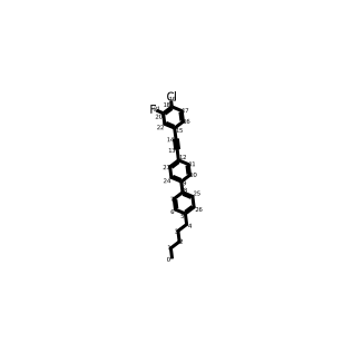 CCCCCc1ccc(-c2ccc(C#Cc3ccc(Cl)c(F)c3)cc2)cc1